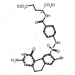 CCOC(=O)CC[C@@H](NC(=O)c1ccc(NS(=O)(=O)c2cc3c(cc2Br)CCc2nc(N)[nH]c(=O)c2-3)cc1)C(=O)OCC